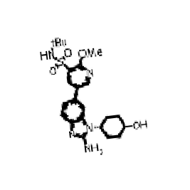 COc1ncc(-c2ccc3nc(N)n([C@H]4CC[C@H](O)CC4)c3c2)cc1S(=O)(=O)NC(C)(C)C